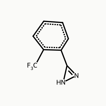 FC(F)(F)c1ccccc1C1=NN1